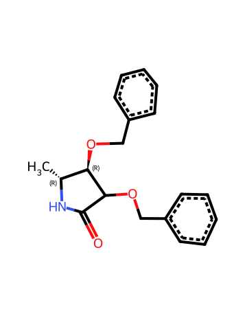 C[C@H]1NC(=O)C(OCc2ccccc2)[C@@H]1OCc1ccccc1